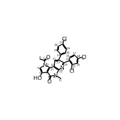 CC(=O)n1cc(O)c2c(=O)n(C)c3nc(-c4ccc(Cl)cc4Cl)c(-c4ccc(Cl)cc4)cc3c21